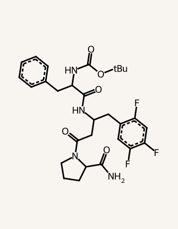 CC(C)(C)OC(=O)NC(Cc1ccccc1)C(=O)NC(CC(=O)N1CCCC1C(N)=O)Cc1cc(F)c(F)cc1F